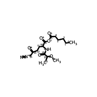 CCCCCC(=O)OC(=O)C(CCC(=O)C=[N+]=[N-])NC(=O)C(C)OC